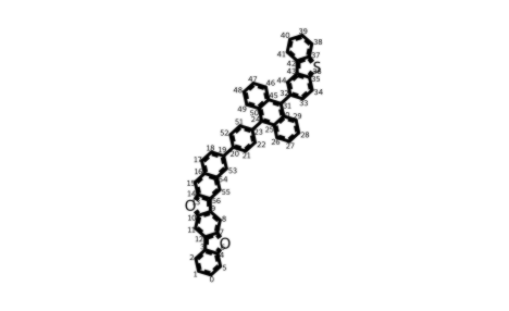 c1ccc2c(c1)oc1cc3c(cc12)oc1cc2ccc(-c4ccc(-c5c6ccccc6c(-c6ccc7sc8ccccc8c7c6)c6ccccc56)cc4)cc2cc13